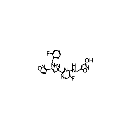 Oc1cc(CNc2nc(-c3cc(-c4ccon4)n(Cc4ccccc4F)n3)ncc2F)on1